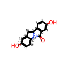 O=C1c2cc(O)ccc2-c2cc3cc(O)ccc3n21